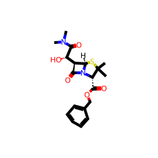 CN(C)C(=O)[C@@H](O)[C@@H]1C(=O)N2[C@@H]1SC(C)(C)[C@@H]2C(=O)OCc1ccccc1